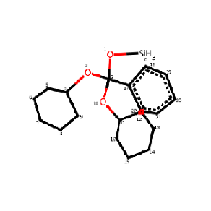 [SiH3]OC(OC1CCCCC1)(OC1CCCCC1)c1ccccc1